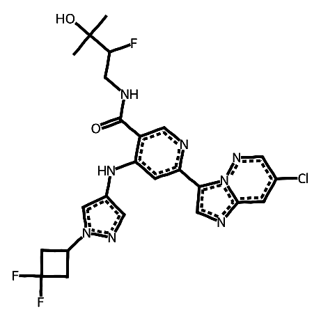 CC(C)(O)C(F)CNC(=O)c1cnc(-c2cnc3cc(Cl)cnn23)cc1Nc1cnn(C2CC(F)(F)C2)c1